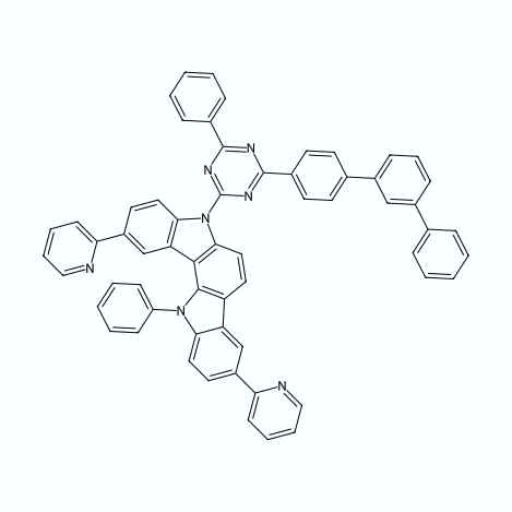 c1ccc(-c2cccc(-c3ccc(-c4nc(-c5ccccc5)nc(-n5c6ccc(-c7ccccn7)cc6c6c5ccc5c7cc(-c8ccccn8)ccc7n(-c7ccccc7)c56)n4)cc3)c2)cc1